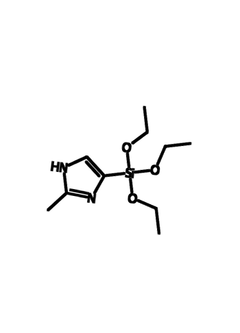 CCO[Si](OCC)(OCC)c1c[nH]c(C)n1